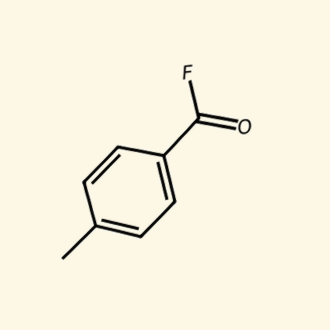 Cc1ccc(C(=O)F)cc1